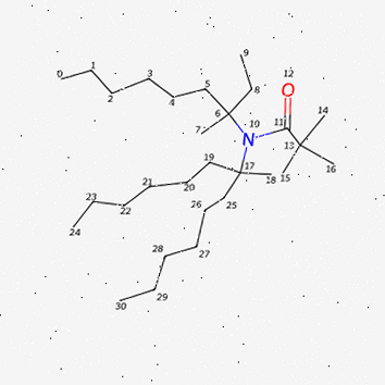 CCCCCCC(C)(CC)N(C(=O)C(C)(C)C)C(C)(CCCCCC)CCCCCC